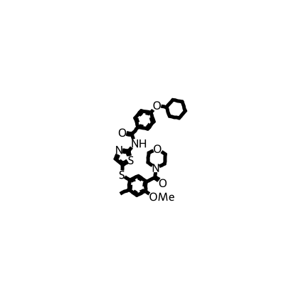 COc1cc(C)c(Sc2cnc(NC(=O)c3ccc(OC4CCCCC4)cc3)s2)cc1C(=O)N1CCOCC1